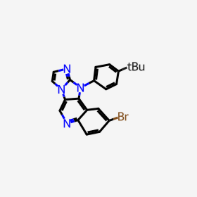 CC(C)(C)c1ccc(-n2c3c4cc(Br)ccc4ncc3n3ccnc23)cc1